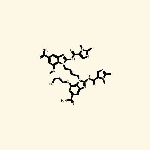 COc1cc(C(N)=O)cc2nc(NC(=O)c3cnc(C)n3C)n(C/C=C/Cn3c(NC(=O)c4cnc(C)n4C)nc4cc(C(N)=O)cc(OCCCO)c43)c12